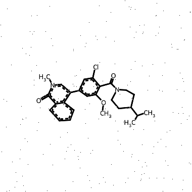 COc1cc(-c2cn(C)c(=O)c3ccccc23)cc(Cl)c1C(=O)N1CCC(C(C)C)CC1